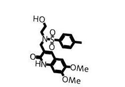 COc1cc2cc(CN(CCO)S(=O)(=O)c3ccc(C)cc3)c(=O)[nH]c2cc1OC